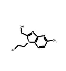 Cc1ccc2c(n1)nc(CO)n2CCC(C)C